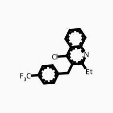 CCc1nc2ccccc2c(Cl)c1Cc1ccc(C(F)(F)F)cc1